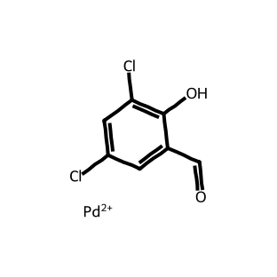 O=Cc1cc(Cl)cc(Cl)c1O.[Pd+2]